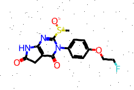 C[S+]([O-])c1nc2c(c(=O)n1-c1ccc(OCCF)cc1)CC(=O)N2